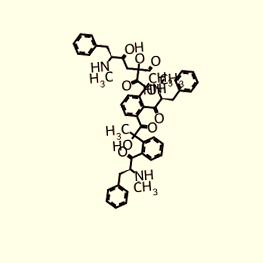 CN[C@@H](Cc1ccccc1)C(=O)CC(O)([C]=O)C(=O)C(C)(O)c1cccc(C(=O)C(C)(O)c2ccccc2C(=O)[C@H](Cc2ccccc2)NC)c1C(=O)[C@H](Cc1ccccc1)NC